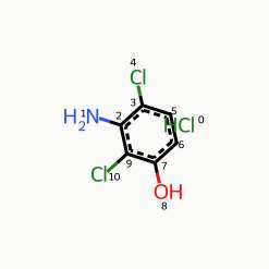 Cl.Nc1c(Cl)ccc(O)c1Cl